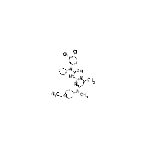 CCN1CCC(N(C)c2cc(C)nc(NC(=N)N(c3ccc(Cl)c(Cl)c3)C3CCCC3)n2)CC1